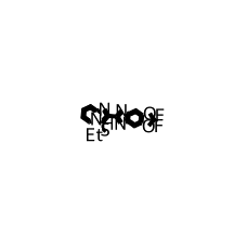 CCSc1c(-c2nc3cc4c(cc3[nH]2)OC(F)(F)O4)nc2ccccn12